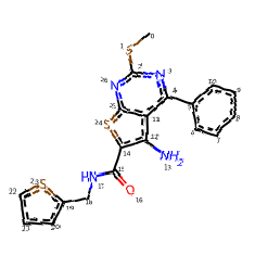 CSc1nc(-c2ccccc2)c2c(N)c(C(=O)NCc3cccs3)sc2n1